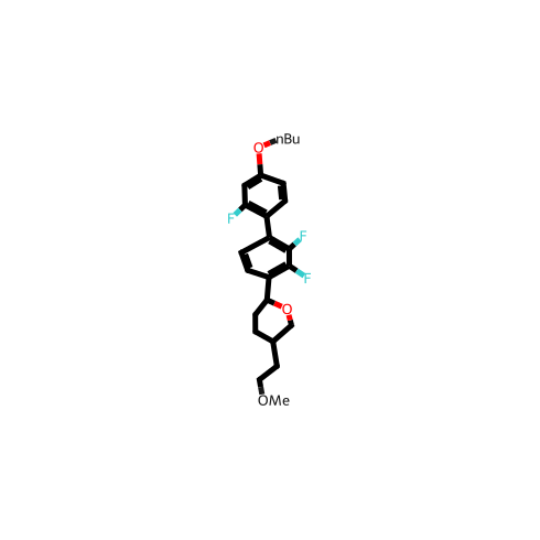 CCCCOc1ccc(-c2ccc(C3CCC(CCOC)CO3)c(F)c2F)c(F)c1